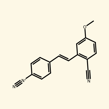 COc1ccc(C#N)c(C=Cc2ccc([N+]#N)cc2)c1